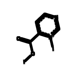 O=C(OI)c1ccnc[n+]1I